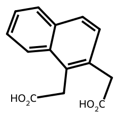 O=C(O)Cc1ccc2ccccc2c1CC(=O)O